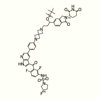 CC(C)(C)[Si](C)(C)OC(CCN1CC2(C1)CN(c1ccc(-c3cnc4[nH]cc(C(=O)c5c(F)ccc(NS(=O)(=O)N6CC[C@@H](F)C6)c5F)c4c3)cc1)C2)c1ccc2c(c1)CN([C@H]1CCC(=O)NC1=O)C2=O